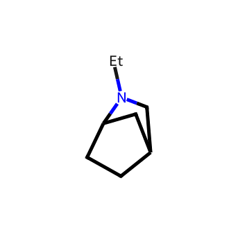 CCN1CC2CCC1C2